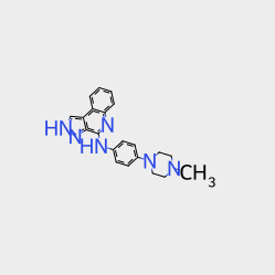 CN1CCN(c2ccc(Nc3nc4ccccc4c4c[nH]nc34)cc2)CC1